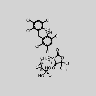 CCC1(C)OC(=O)N(C)C1=O.C[C@@H]1O[C@@H]1P(=O)(O)O.Oc1c(Cl)cc(Cl)c(Cl)c1Cc1c(O)c(Cl)cc(Cl)c1Cl